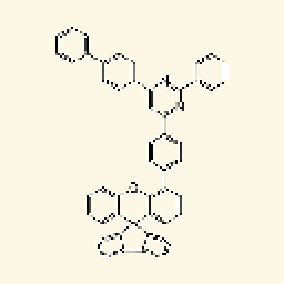 c1ccc(-c2ccc(-c3cc(-c4ccc(-c5cccc6c5Oc5ccccc5C65c6ccccc6-c6ccccc65)cc4)nc(-c4ccccc4)n3)cc2)cc1